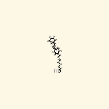 OCCCCCSCc1ccc(SSc2ccccn2)nc1